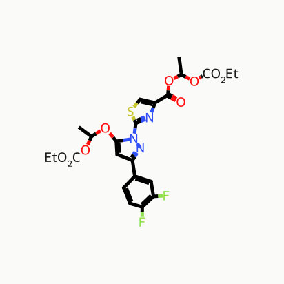 CCOC(=O)OC(C)OC(=O)c1csc(-n2nc(-c3ccc(F)c(F)c3)cc2OC(C)OC(=O)OCC)n1